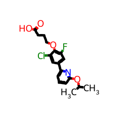 CC(C)Oc1cccc(-c2cc(F)c(OCCCC(=O)O)c(Cl)c2)n1